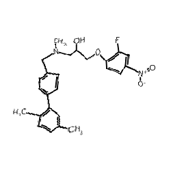 Cc1ccc(C)c(-c2ccc(CN(C)CC(O)COc3ccc([N+](=O)[O-])cc3F)cc2)c1